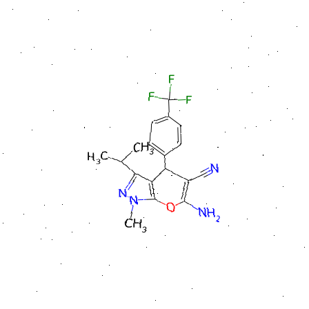 CC(C)c1nn(C)c2c1C(c1ccc(C(F)(F)F)cc1)C(C#N)=C(N)O2